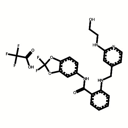 O=C(Nc1ccc2c(c1)OC(F)(F)O2)c1ccccc1NCc1ccnc(NCCO)c1.O=C(O)C(F)(F)F